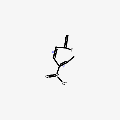 C=C(F)/C=C\C(=C/C)[N+](=O)[O-]